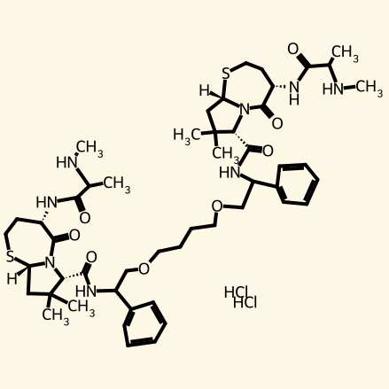 CNC(C)C(=O)N[C@H]1CCS[C@H]2CC(C)(C)[C@@H](C(=O)NC(COCCCCOCC(NC(=O)[C@H]3N4C(=O)[C@@H](NC(=O)C(C)NC)CCS[C@H]4CC3(C)C)c3ccccc3)c3ccccc3)N2C1=O.Cl.Cl